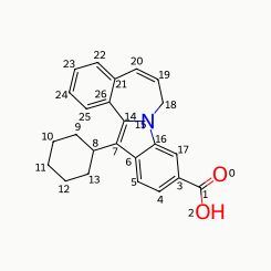 O=C(O)c1ccc2c(C3CCCCC3)c3n(c2c1)CC=Cc1ccccc1-3